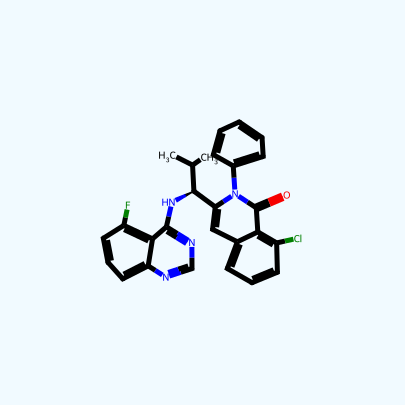 CC(C)[C@H](Nc1ncnc2cccc(F)c12)c1cc2cccc(Cl)c2c(=O)n1-c1ccccc1